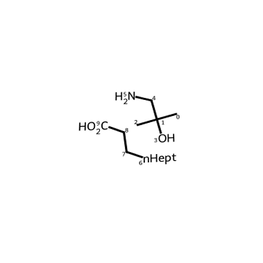 CC(C)(O)CN.CCCCCCCCCC(=O)O